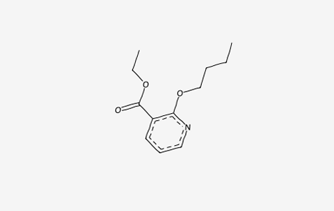 CCCCOc1ncccc1C(=O)OCC